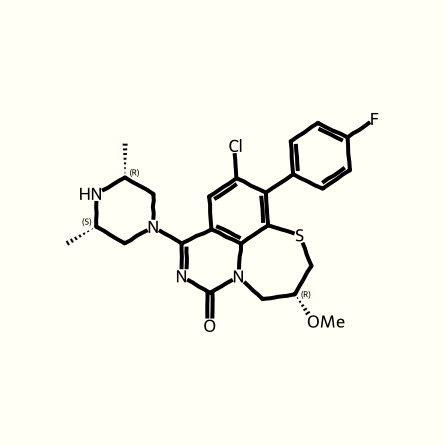 CO[C@H]1CSc2c(-c3ccc(F)cc3)c(Cl)cc3c(N4C[C@@H](C)N[C@@H](C)C4)nc(=O)n(c23)C1